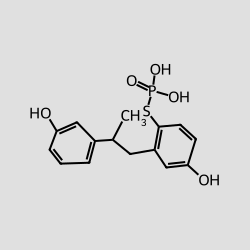 CC(Cc1cc(O)ccc1SP(=O)(O)O)c1cccc(O)c1